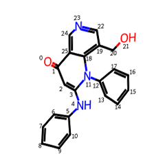 O=c1cc(Nc2ccccc2)n(-c2ccccc2)c2c(CO)cncc12